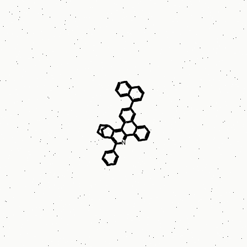 c1ccc(-c2nc3c4ccccc4c4cc(-c5cccc6ccccc56)ccc4c3c3c2C2CCC3C2)cc1